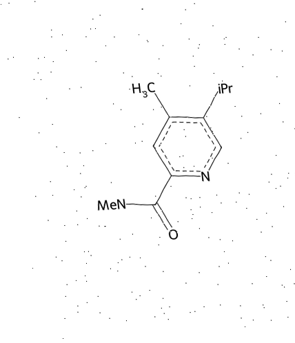 CNC(=O)c1cc(C)c(C(C)C)cn1